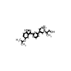 CC(C)OC1C=Cc2[nH]nc(-c3nccc(/C(C=N)=C/N(C)C(C)CO)n3)c2C1